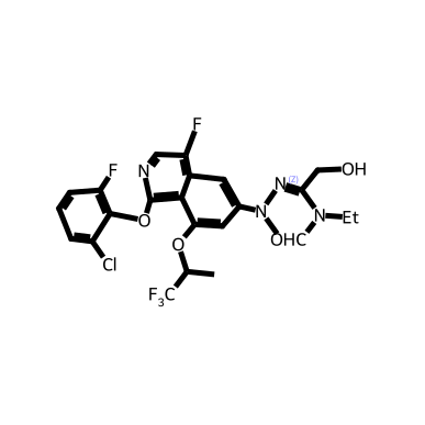 CCN(C=O)/C(CO)=N\N(C)c1cc(OC(C)C(F)(F)F)c2c(Oc3c(F)cccc3Cl)ncc(F)c2c1